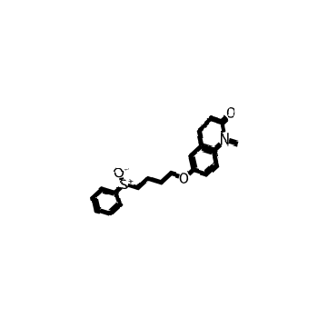 CN1C(=O)CCc2cc(OCCCC[S+]([O-])c3ccccc3)ccc21